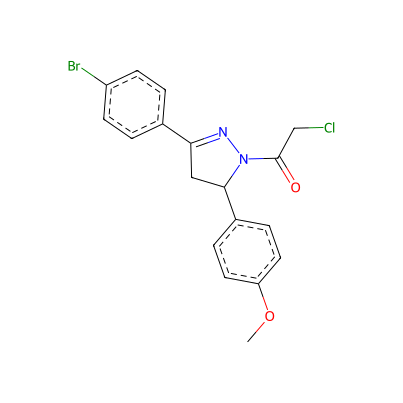 COc1ccc(C2CC(c3ccc(Br)cc3)=NN2C(=O)CCl)cc1